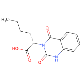 CCCC[C@@H](C(=O)O)n1c(=O)[nH]c2ccccc2c1=O